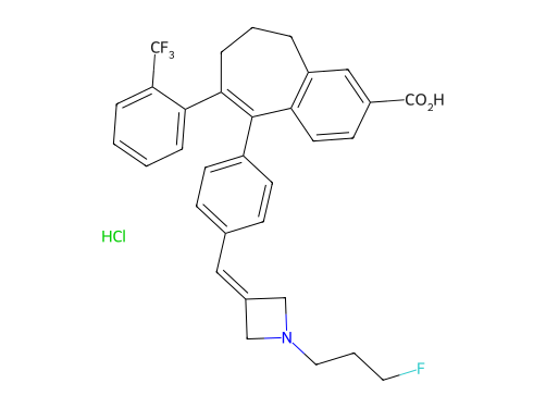 Cl.O=C(O)c1ccc2c(c1)CCCC(c1ccccc1C(F)(F)F)=C2c1ccc(C=C2CN(CCCF)C2)cc1